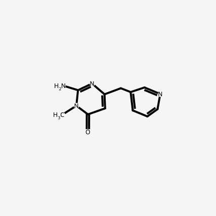 Cn1c(N)nc(Cc2cccnc2)cc1=O